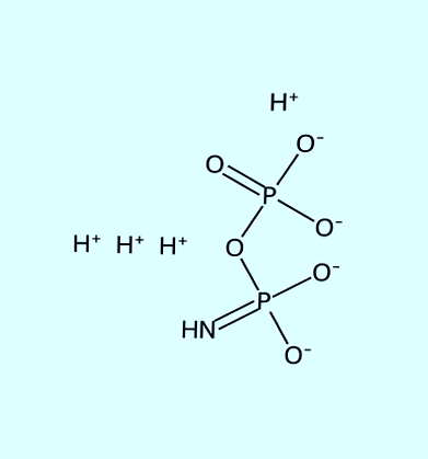 N=P([O-])([O-])OP(=O)([O-])[O-].[H+].[H+].[H+].[H+]